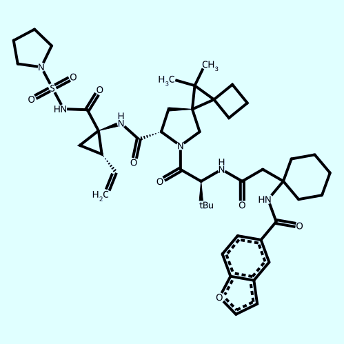 C=C[C@@H]1C[C@]1(NC(=O)[C@@H]1C[C@@]2(CN1C(=O)[C@@H](NC(=O)CC1(NC(=O)c3ccc4occc4c3)CCCCC1)C(C)(C)C)C(C)(C)C21CCC1)C(=O)NS(=O)(=O)N1CCCC1